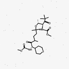 COC(=O)N[C@H](C(=O)C(C)CCC(C)(C)O[C@H](C)[C@H](NC(=O)OC)C(=O)C(C)(C)C)C1CCSCC1